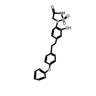 O=C1CN(c2ccc(CCc3ccc(Oc4ccccc4)cc3)cc2O)S(=O)(=O)N1